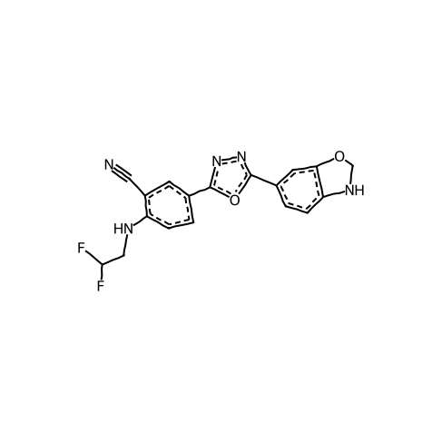 N#Cc1cc(-c2nnc(-c3ccc4c(c3)OCN4)o2)ccc1NCC(F)F